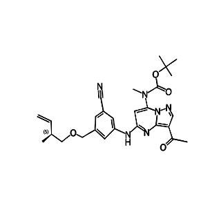 C=C[C@H](C)COCc1cc(C#N)cc(Nc2cc(N(C)C(=O)OC(C)(C)C)n3ncc(C(C)=O)c3n2)c1